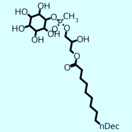 CCCCCCCCCCCCCCCCCCC(=O)OCC(O)COP(C)(=O)OC1C(O)C(O)C(O)C(O)C1O